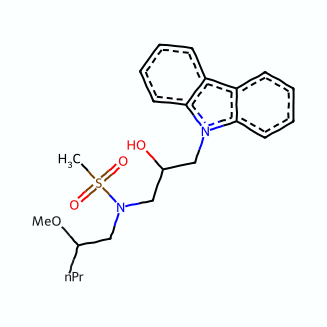 CCCC(CN(CC(O)Cn1c2ccccc2c2ccccc21)S(C)(=O)=O)OC